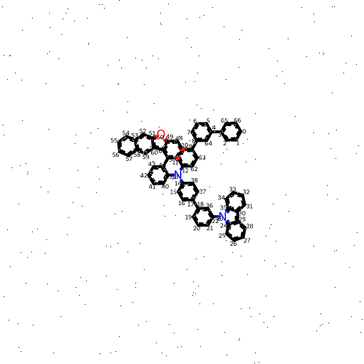 c1ccc(-c2cccc(-c3ccc(N(c4ccc(-c5cccc(-n6c7ccccc7c7ccccc76)c5)cc4)c4ccccc4-c4cccc5oc6cc7ccccc7cc6c45)cc3)c2)cc1